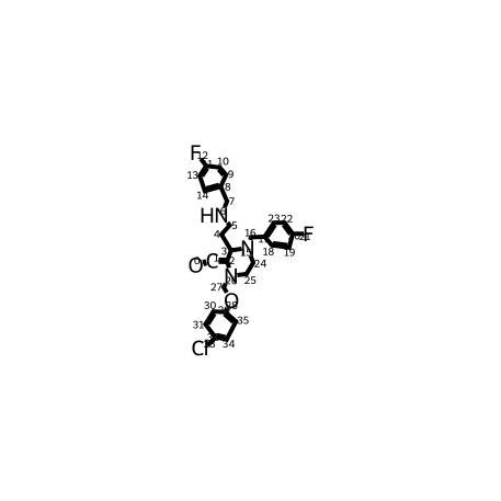 O=C=C1C(CCNCc2ccc(F)cc2)N(Cc2ccc(F)cc2)CCN1COc1ccc(Cl)cc1